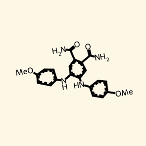 COc1ccc(Nc2cc(C(N)=O)c(C(N)=O)cc2Nc2ccc(OC)cc2)cc1